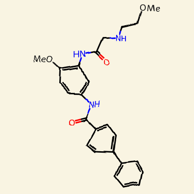 COCCNCC(=O)Nc1cc(NC(=O)c2ccc(-c3ccccc3)cc2)ccc1OC